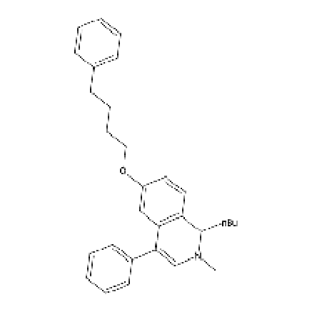 CCCCC1c2ccc(OCCCCc3ccccc3)cc2C(c2ccccc2)=CN1C